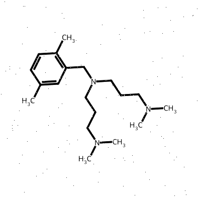 Cc1ccc(C)c(CN(CCCN(C)C)CCCN(C)C)c1